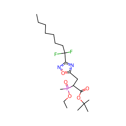 CCCCCCCC(F)(F)c1noc(CC(C(=O)OC(C)(C)C)P(C)(=O)OCC)n1